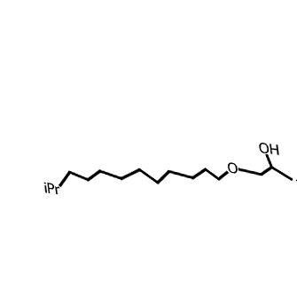 [CH2]C(O)COCCCCCCCCCCC(C)C